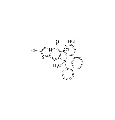 CP(c1ccccc1)(c1ccccc1)(c1ccccc1)c1nc2sc(Cl)cn2c(=O)c1Cl.Cl